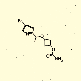 CC(O[C@H]1C[C@@H](OC(N)=O)C1)c1ccc(Br)cn1